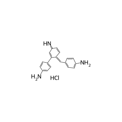 Cl.N=C1C=CC(=Cc2ccc(N)cc2)C(c2ccc(N)cc2)=C1